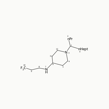 CCCCCCCC(CCC)N1CCC(NCCC(F)(F)F)CC1